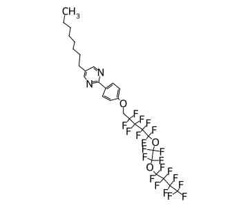 CCCCCCCCc1cnc(-c2ccc(OCC(F)(F)C(F)(F)C(F)(F)C(F)(F)OC(F)(F)C(F)(F)OC(F)(F)C(F)(F)C(F)(F)C(F)(F)F)cc2)nc1